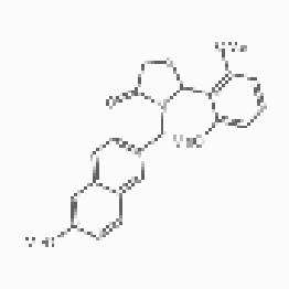 COc1ccc2cc(CN3C(=O)CSC3c3c(OC)cccc3OC)ccc2c1